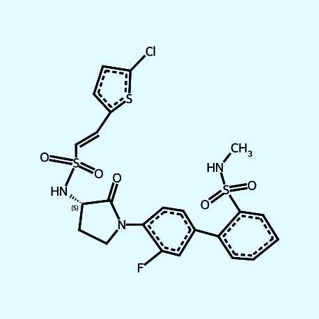 CNS(=O)(=O)c1ccccc1-c1ccc(N2CC[C@H](NS(=O)(=O)C=Cc3ccc(Cl)s3)C2=O)c(F)c1